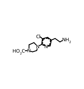 NCCc1cnc(N2CCN(C(=O)O)CC2)c(Cl)c1